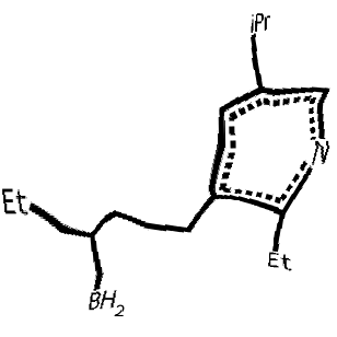 BC(CC)CCc1cc(C(C)C)cnc1CC